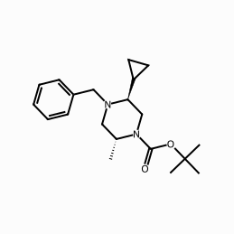 C[C@@H]1CN(Cc2ccccc2)[C@@H](C2CC2)CN1C(=O)OC(C)(C)C